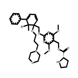 COc1nc(OCC2(OCCCN3CCOCC3)C=CC=C(c3ccccc3)C2(C)Br)nc(OC)c1COC(=O)[C@@H]1CCCN1